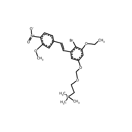 CCOc1cc(OCOCC[Si](C)(C)C)cc(/C=C/c2ccc([N+](=O)[O-])c(OC)c2)c1Br